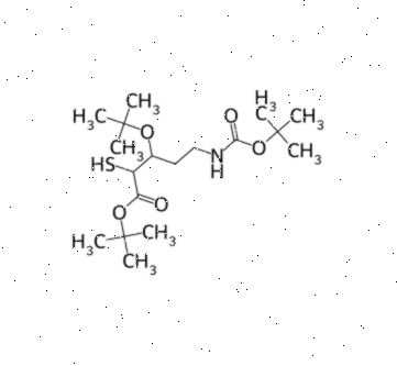 CC(C)(C)OC(=O)NCCC(OC(C)(C)C)C(S)C(=O)OC(C)(C)C